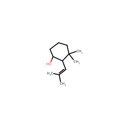 CC(C)=CC1C(O)CCCC1(C)C